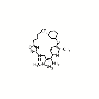 Cc1nc(/C(N)=C(\CNc2noc(CCCC(F)(F)F)n2)N(C)N)ccc1OC1CCCCC1